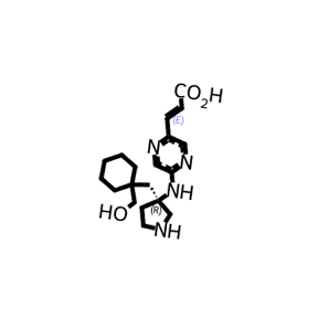 O=C(O)/C=C/c1cnc(N[C@]2(CC3(CO)CCCCC3)CCNC2)cn1